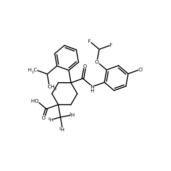 [2H]C([2H])([2H])C1(C(=O)O)CCC(C(=O)Nc2ccc(Cl)cc2OC(F)F)(c2ccccc2C(C)C)CC1